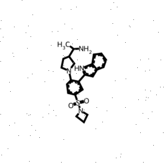 CC(N)C1CCN(c2ccc(S(=O)(=O)N3CCC3)cc2-c2cc3ccccc3[nH]2)C1